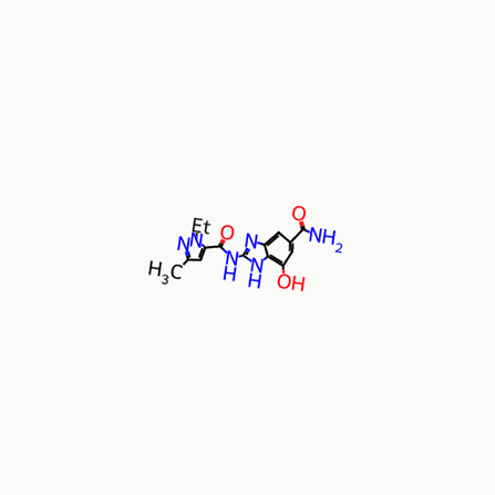 CCn1nc(C)cc1C(=O)Nc1nc2cc(C(N)=O)cc(O)c2[nH]1